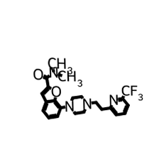 CN(C)C(=O)c1cc2cccc(N3CCN(CCc4cccc(C(F)(F)F)n4)CC3)c2o1